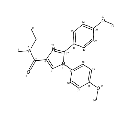 CCN(C)C(=O)c1cn(-c2ccc(OC)cc2)c(-c2ccc(OC)cc2)n1